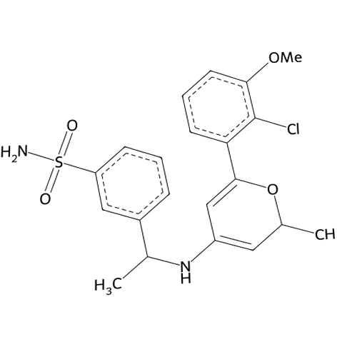 COc1cccc(C2=CC(NC(C)c3cccc(S(N)(=O)=O)c3)=CC(C)O2)c1Cl